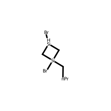 CCCC[Si]1(Br)C[SiH](Br)C1